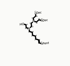 CCCCCC=CCCCCCN(CCO)CCN(CCCCCCCCCCCC)CCCCCCCCCCCC